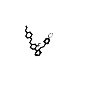 CCCC1CCC(CCC2CCC(c3ccccc3CCc3ccc(Cl)cc3)C(F)C2)CC1